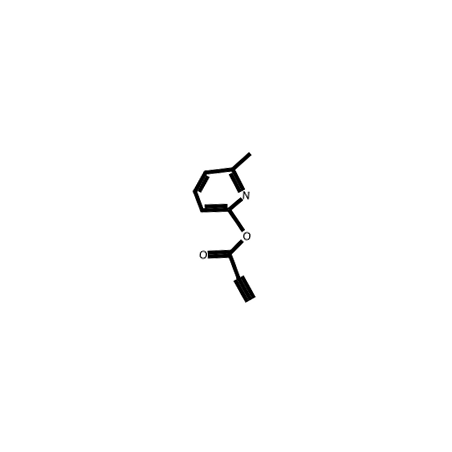 C#CC(=O)Oc1cccc(C)n1